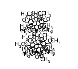 CC1(C)Oc2c(C=O)c3c(c(C(O)(c4c5c(c(C=O)c6c4OC(C)(C)O6)OC(C)(C)O5)c4c5c(c(C=O)c6c4OC(C)(C)O6)OC(C)(C)O5)c2O1)OC(C)(C)O3.COC(=O)c1c2c(c(C(O)(c3c4c(c(C(=O)OC)c5c3OC(C)(C)O5)OC(C)(C)O4)c3c4c(c(C(=O)OC)c5c3OC(C)(C)O5)OC(C)(C)O4)c3c1OC(C)(C)O3)OC(C)(C)O2